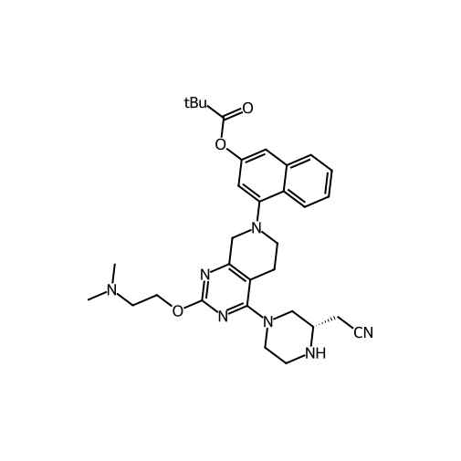 CN(C)CCOc1nc2c(c(N3CCN[C@@H](CC#N)C3)n1)CCN(c1cc(OC(=O)C(C)(C)C)cc3ccccc13)C2